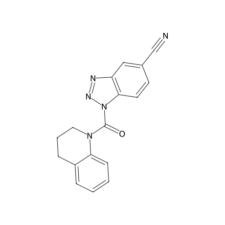 N#Cc1ccc2c(c1)nnn2C(=O)N1CCCc2ccccc21